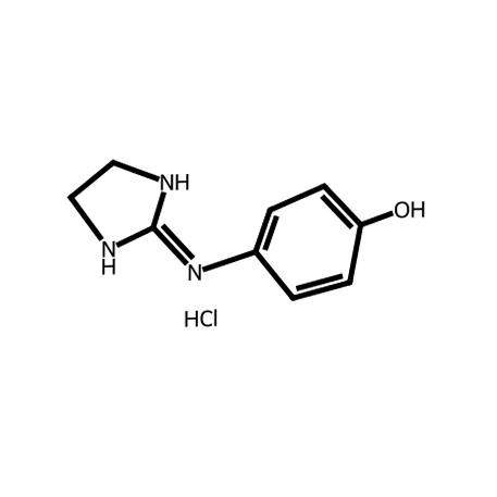 Cl.Oc1ccc(N=C2NCCN2)cc1